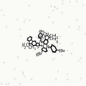 CC(C)(C)c1ccc(N2c3ccc(C(C)(C)C)cc3N3c4sc5cc6c(cc5c4N(c4ccc(C(C)(C)C)cc4)c4c3c2cc2c4C(C)(C)CC2(C)C)-c2ccccc2C6(C)C)cc1